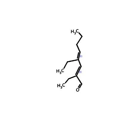 CCC/C=C(/C=C(/C=O)CC)CC